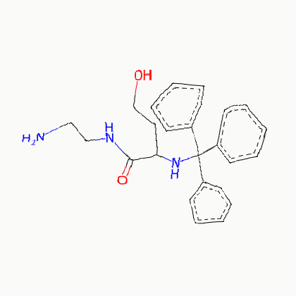 NCCNC(=O)C(CCO)NC(c1ccccc1)(c1ccccc1)c1ccccc1